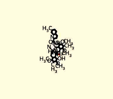 COc1c(C)c(OC)c2c(c1O)[C@@H]1[C@@H]3Cc4c(OC)c(C)c(OC)c(O)c4[C@H](CNC(=O)c4ccc5ccc(C)cc5n4)N3[C@@H](C#N)[C@H](C2)N1C